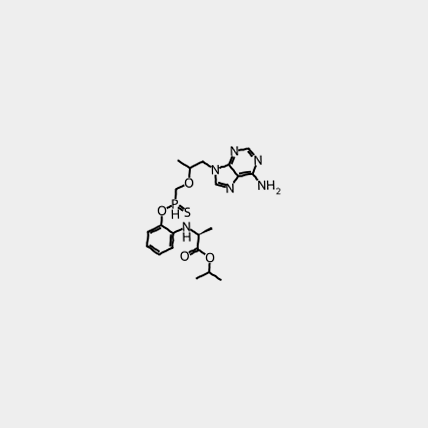 CC(C)OC(=O)[C@H](C)Nc1ccccc1O[PH](=S)COC(C)Cn1cnc2c(N)ncnc21